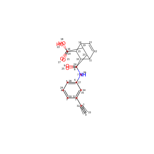 C#Cc1cccc(NC(=O)C2C3C=CC(C2C(=O)O)C(C(=O)O)C3C(=O)Nc2cccc(C#C)c2)c1